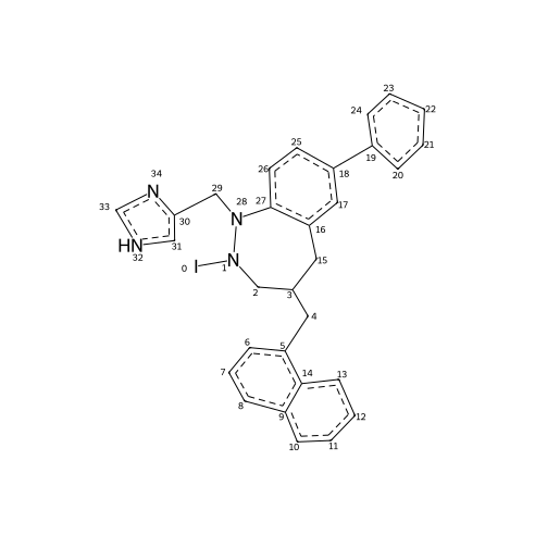 IN1CC(Cc2cccc3ccccc23)Cc2cc(-c3ccccc3)ccc2N1Cc1c[nH]cn1